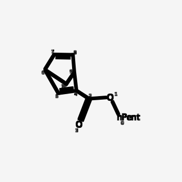 CCCCCOC(=O)C1=CC2C=CC1C2